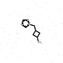 CC1CC(Cn2cncn2)C1